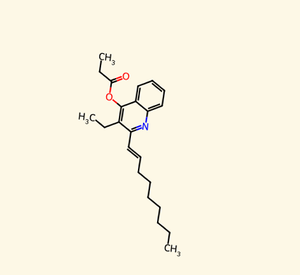 CCCCCCC/C=C/c1nc2ccccc2c(OC(=O)CC)c1CC